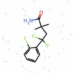 CC(C)(CC(F)(F)c1ccccc1F)C(N)=O